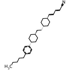 CCCCCc1ccc([C@H]2CC[C@H](CC[C@H]3CC[C@H](/C=C/C=C/C#N)CC3)CC2)cc1